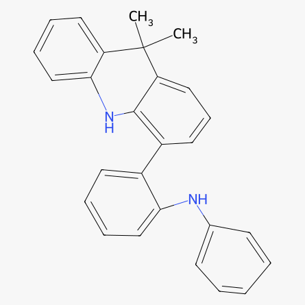 CC1(C)c2ccccc2Nc2c(-c3ccccc3Nc3ccccc3)cccc21